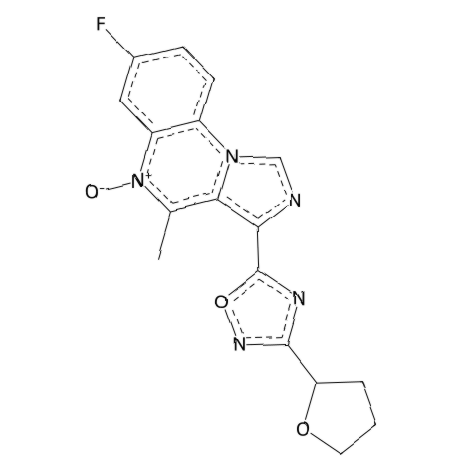 Cc1c2c(-c3nc(C4CCCO4)no3)ncn2c2ccc(F)cc2[n+]1[O-]